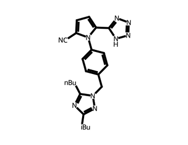 CCCCc1nc(C(C)CC)nn1Cc1ccc(-n2c(C#N)ccc2-c2nnn[nH]2)cc1